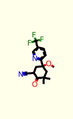 COC1(c2ccc(C(F)(F)F)cn2)CC(C#N)C(=O)C(C)(C)C1